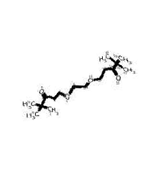 CC(C)(C)C(=O)CCOCCOCCC(=O)C(C)(C)C